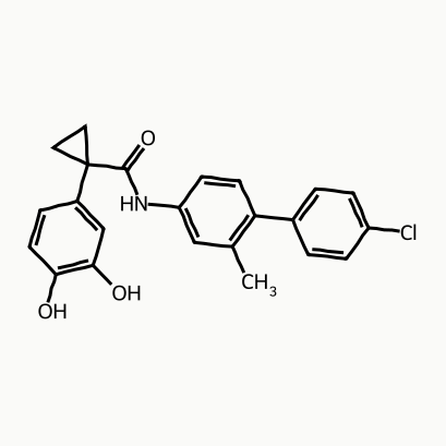 Cc1cc(NC(=O)C2(c3ccc(O)c(O)c3)CC2)ccc1-c1ccc(Cl)cc1